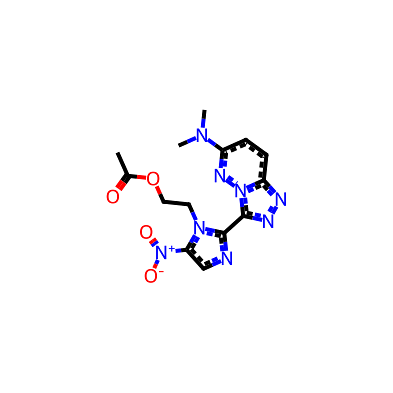 CC(=O)OCCn1c([N+](=O)[O-])cnc1-c1nnc2ccc(N(C)C)nn12